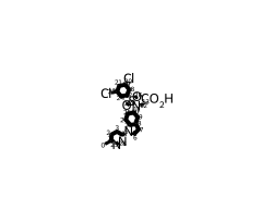 Cc1ccc(-n2ccc3cc(N(CC(=O)O)S(=O)(=O)c4cc(Cl)cc(Cl)c4)ccc32)nn1